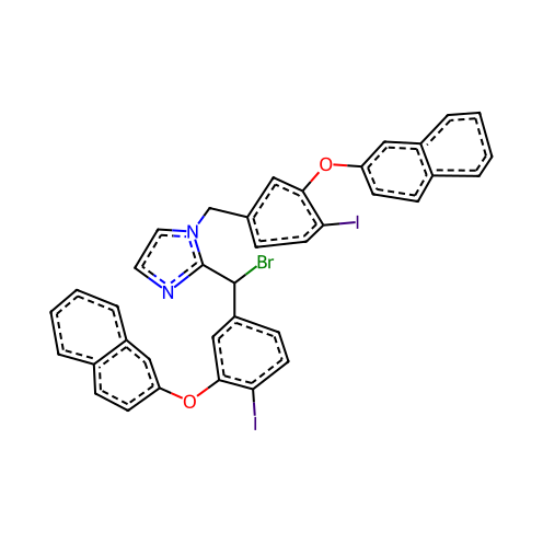 BrC(c1ccc(I)c(Oc2ccc3ccccc3c2)c1)c1nccn1Cc1ccc(I)c(Oc2ccc3ccccc3c2)c1